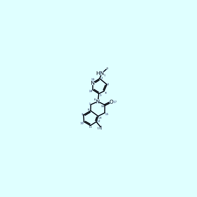 CNc1ccc(N2Cc3cccc(I)c3CC2=O)cn1